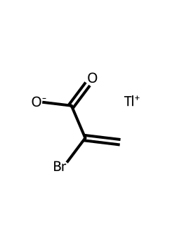 C=C(Br)C(=O)[O-].[Tl+]